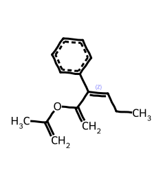 C=C(C)OC(=C)/C(=C\CC)c1ccccc1